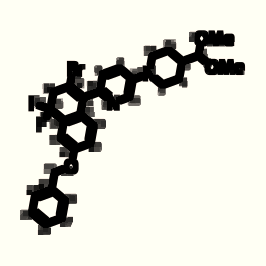 COC(OC)C1CCN(c2ccc(C3=C(Br)CC(F)(F)c4cc(OCc5ccccc5)ccc43)nc2)CC1